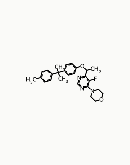 Cc1ccc(C(C)(C)c2ccc(OC(C)c3ncnc(N4CCOCC4)c3F)cc2)cc1